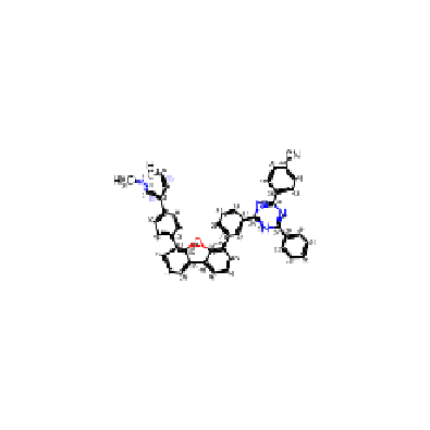 C=N/C=C(\C=C/C)c1ccc(-c2cccc3c2oc2c(-c4cccc(-c5nc(-c6ccccc6)nc(-c6ccc(C#N)cc6)n5)c4)cccc23)cc1